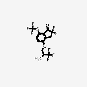 CC(COc1ccc(SC(F)(F)F)c2c1CC(F)(F)C2=O)C(F)(F)F